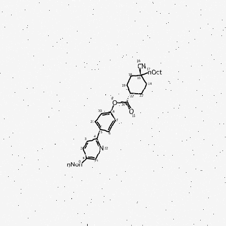 CCCCCCCCCc1ccc(-c2ccc(OC(=O)[C@H]3CC[C@@](C#N)(CCCCCCCC)CC3)cc2)nc1